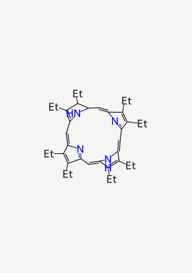 CCC1=C(CC)C2=NC1=CC1=C(CC)C(CC)C(C=C3N=C(C=c4[nH]c(c(CC)c4CC)=C2)C(CC)=C3CC)N1